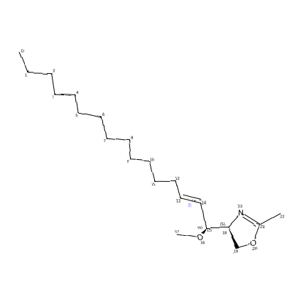 CCCCCCCCCCCCC/C=C/[C@H](OC)[C@@H]1COC(C)=N1